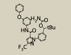 CC(C)(C)C(OC(N)=O)c1cccc(-n2nc(C(F)(F)F)cc2C(=O)Nc2cccc(Oc3ccccc3)c2)c1